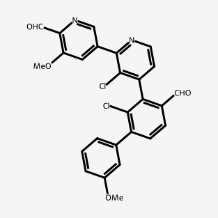 COc1cccc(-c2ccc(C=O)c(-c3ccnc(-c4cnc(C=O)c(OC)c4)c3Cl)c2Cl)c1